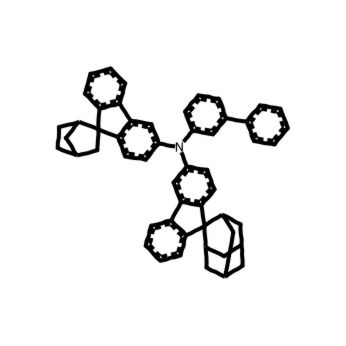 c1ccc(-c2cccc(N(c3ccc4c(c3)-c3ccccc3C43CC4CCC3C4)c3ccc4c(c3)-c3ccccc3C43C4CC5CC(C4)CC3C5)c2)cc1